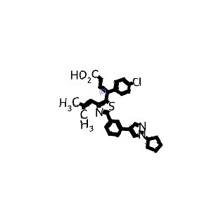 CC(C)=Cc1nc(-c2cccc(-c3cnn(C4CCCC4)c3)c2)sc1/C(=C/CC(=O)O)c1ccc(Cl)cc1